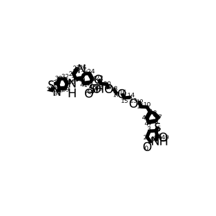 O=C1CCC(Sc2ccc(CCCOCCOCCOCCOc3cc4nccc(Nc5ccc6scnc6c5)c4cc3[SH](=O)=O)cc2)C(=O)N1